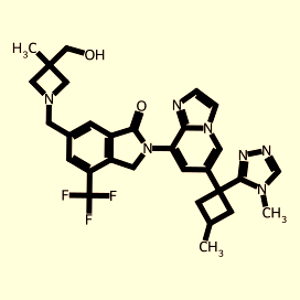 CC1CC(c2cc(N3Cc4c(cc(CN5CC(C)(CO)C5)cc4C(F)(F)F)C3=O)c3nccn3c2)(c2nncn2C)C1